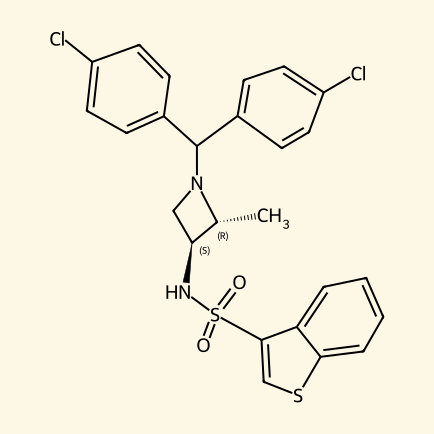 C[C@@H]1[C@@H](NS(=O)(=O)c2csc3ccccc23)CN1C(c1ccc(Cl)cc1)c1ccc(Cl)cc1